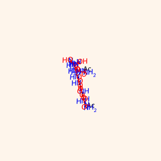 CC(=O)CN[C@@H](CCCCNC(=O)COCCOCCNC(=O)COCCOCCNC(=O)CCCC(=O)NCCCC[C@H](NC(=O)CCCC(=O)NC(CNC(C)(C)/C(C)=N/O)CNC(C)(C)/C(C)=N/O)C(=O)NCCCC[C@@H](NCC(C)=O)C(N)=O)C(N)=O